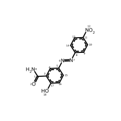 NC(=O)c1cc(N=Nc2ccc([N+](=O)[O-])cc2)ccc1O